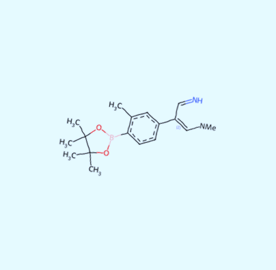 CN/C=C(\C=N)c1ccc(B2OC(C)(C)C(C)(C)O2)c(C)c1